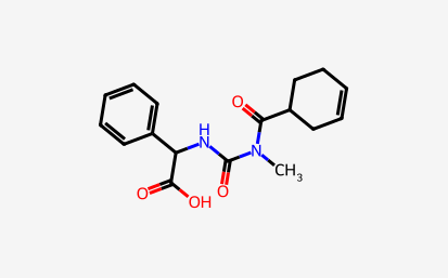 CN(C(=O)NC(C(=O)O)c1ccccc1)C(=O)C1CC=CCC1